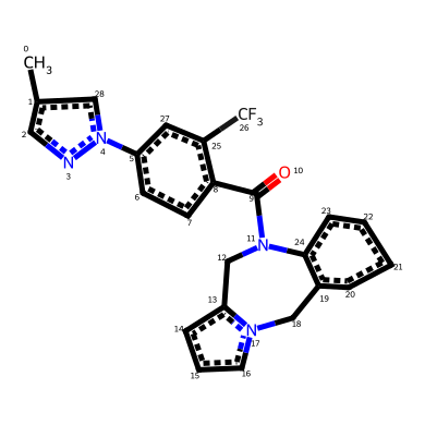 Cc1cnn(-c2ccc(C(=O)N3Cc4cccn4Cc4ccccc43)c(C(F)(F)F)c2)c1